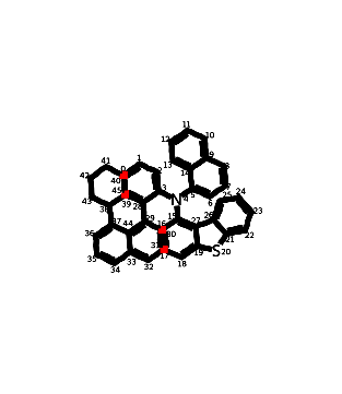 c1ccc(N(c2cccc3ccccc23)c2cccc3sc4ccccc4c23)c(-c2cccc3cccc(C4CCCCC4)c23)c1